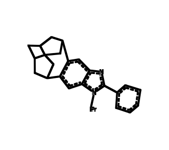 CC(C)n1c(-c2ccccc2)nc2cc3c(cc21)C1CC2CC4CC3CC42C1